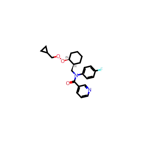 O=C(c1cccnc1)N(C[C@@H]1CCCC[C@@H]1OOCC1CC1)c1ccc(F)cc1